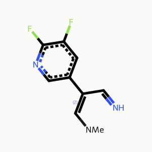 CN/C=C(\C=N)c1cnc(F)c(F)c1